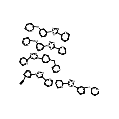 C#Cc1cccc(-n2nnc(-c3ccccn3)n2)c1.c1ccc(-c2nnn(-c3ccc(Cc4cccnc4)cc3)n2)nc1.c1ccc(-c2nnn(-c3cccc(Nc4cccnc4)c3)n2)nc1.c1ccc(Nc2cccc(-n3nnc(-c4ccccn4)n3)c2)nc1.c1ccc(Oc2cccc(-n3nnc(-c4ccccn4)n3)c2)nc1